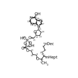 CCCCCCCCCCCCSC(CCCCCCC)C(C)OCCCOP(=O)(O)OP(=O)(O)OC[C@@H]1CC[C@H](n2cnc3c(O)ncnc32)O1